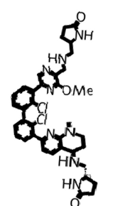 COc1nc(-c2cccc(-c3cccc(-c4ccc5c(n4)N(C)CCC5NC[C@@H]4CCC(=O)N4)c3Cl)c2Cl)cnc1CNCC1CCC(=O)N1